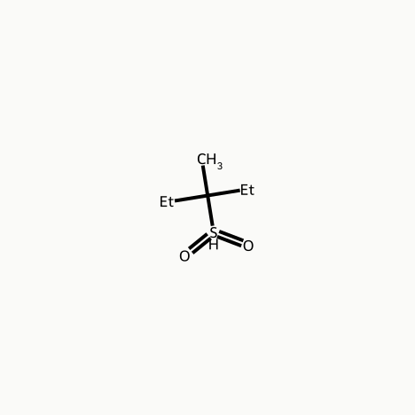 CCC(C)(CC)[SH](=O)=O